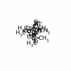 CC#Cc1c(OC)ccc2c(C(=O)c3cc(OC)c(OC)c(OC)c3)nn(CN(CCN(C)C)C(=O)OCc3ccc([N+](=O)[O-])o3)c12